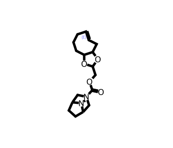 CN1C2CCC1CN(C(=O)OCC1OC3C/C=C/CCCC3O1)C2